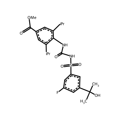 COC(=O)c1cc(C(C)C)c(NC(=O)NS(=O)(=O)c2cc(F)cc(C(C)(C)O)c2)c(C(C)C)c1